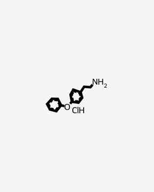 Cl.NCCc1ccc(Oc2ccccc2)cc1